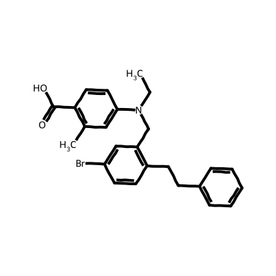 CCN(Cc1cc(Br)ccc1CCc1ccccc1)c1ccc(C(=O)O)c(C)c1